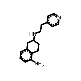 Nc1cccc2c1CCC(NCCc1ccncc1)C2